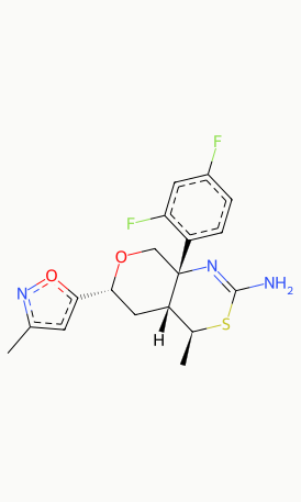 Cc1cc([C@H]2C[C@H]3[C@H](C)SC(N)=N[C@@]3(c3ccc(F)cc3F)CO2)on1